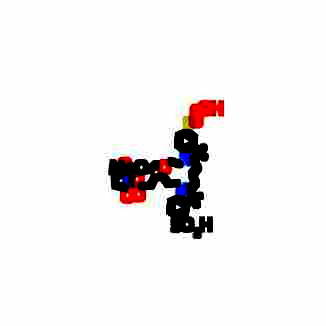 COCCOCC[N+]1=C(C=CC=C2N(CCCCCC(=O)ON3C(=O)CCC3=O)c3ccc(S(=O)(=O)O)cc3C2(C)C)C(C)(C)c2cc(SOOO)ccc21